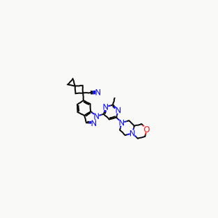 Cc1nc(N2CCN3CCOCC3C2)cc(-n2ncc3ccc(C4(C#N)CC5(CC5)C4)cc32)n1